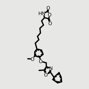 COc1cc(CCCCCCCC2NC(=O)OC2=O)ccc1OCc1nc(-c2ccccc2)oc1C